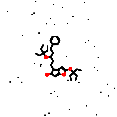 CC[Si](CC)(CC)Oc1cc2c(o1)=CC(=O)C=2CCC(CCc1ccccc1)O[Si](CC)(CC)CC